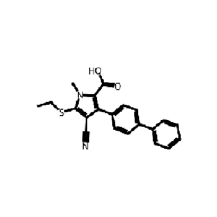 CCSc1c(C#N)c(-c2ccc(-c3ccccc3)cc2)c(C(=O)O)n1C